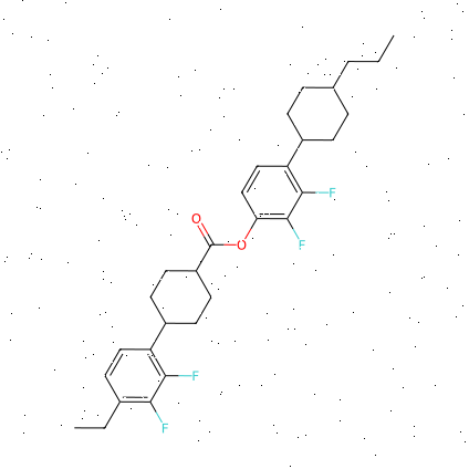 CCCC1CCC(c2ccc(OC(=O)C3CCC(c4ccc(CC)c(F)c4F)CC3)c(F)c2F)CC1